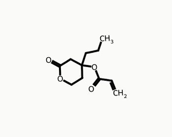 C=CC(=O)OC1(CCC)CCOC(=O)C1